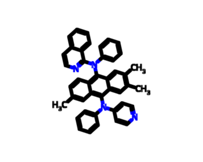 Cc1ccc2c(N(c3ccccc3)c3nccc4ccccc34)c3cc(C)c(C)cc3c(N(c3ccccc3)c3ccncc3)c2c1